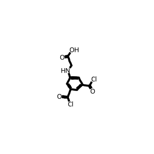 O=C(O)CNc1cc(C(=O)Cl)cc(C(=O)Cl)c1